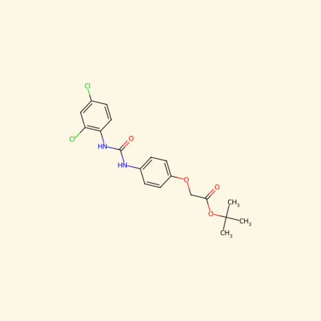 CC(C)(C)OC(=O)COc1ccc(NC(=O)Nc2ccc(Cl)cc2Cl)cc1